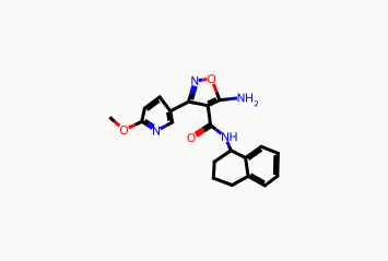 COc1ccc(-c2noc(N)c2C(=O)NC2CCCc3ccccc32)cn1